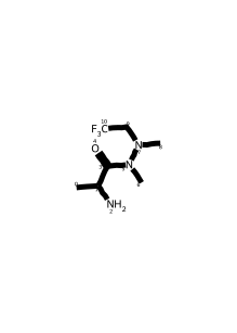 CC(N)C(=O)N(C)N(C)CC(F)(F)F